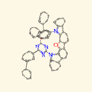 c1ccc(-c2ccc(-c3nc(-c4cccc(-c5ccccc5)c4)nc(-n4c5ccccc5c5ccc6c7ccc8c9ccccc9n(-c9ccc%10ccccc%10c9)c8c7oc6c54)n3)cc2)cc1